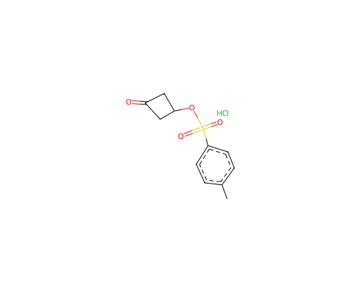 Cc1ccc(S(=O)(=O)OC2CC(=O)C2)cc1.Cl